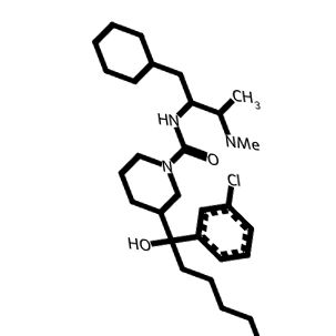 CNC(C)C(CC1CCCCC1)NC(=O)N1CCCC(C(O)(CCCCOC)c2cccc(Cl)c2)C1